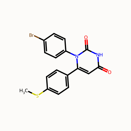 CSc1ccc(-c2cc(=O)[nH]c(=O)n2-c2ccc(Br)cc2)cc1